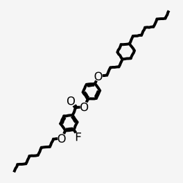 CCCCCCCCOc1ccc(C(=O)Oc2ccc(OCCCC3CCC(CCCCCCC)CC3)cc2)cc1F